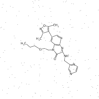 CCCOCCn1c(=O)c(NCc2cnccn2)nc2ncc(-c3c(C)noc3C)cc21